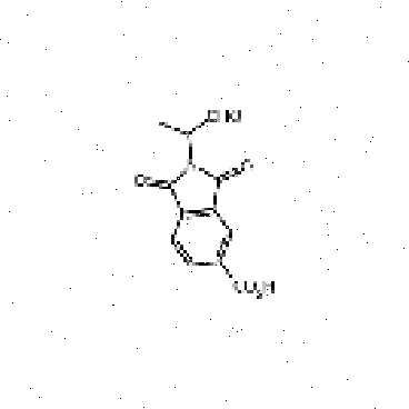 CC(C=O)N1C(=O)c2ccc(C(=O)O)cc2C1=O